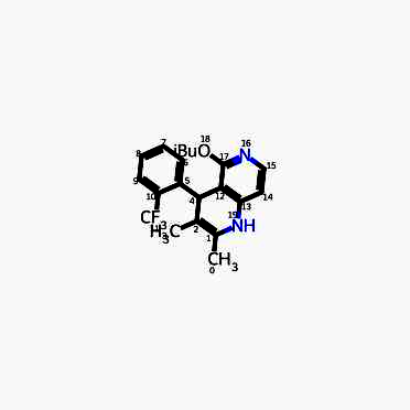 CC1=C(C)C(c2ccccc2C(F)(F)F)c2c(ccnc2OCC(C)C)N1